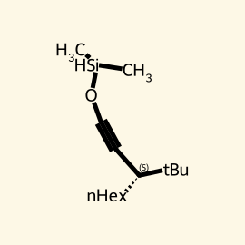 CCCCCC[C@H](C#CO[SiH](C)C)C(C)(C)C